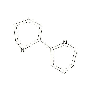 [c]1[c]c(-c2ccccn2)ncc1